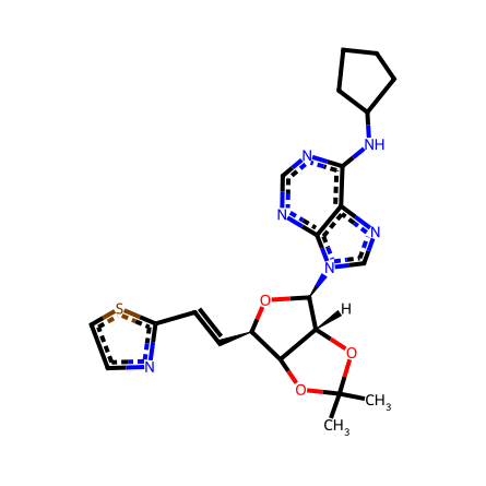 CC1(C)OC2[C@@H](O1)[C@H](n1cnc3c(NC4CCCC4)ncnc31)O[C@@H]2C=Cc1nccs1